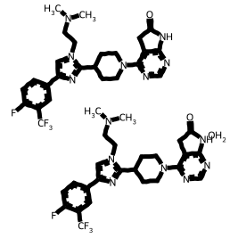 CN(C)CCn1cc(-c2ccc(F)c(C(F)(F)F)c2)nc1C1CCN(c2ncnc3c2CC(=O)N3)CC1.CN(C)CCn1cc(-c2ccc(F)c(C(F)(F)F)c2)nc1C1CCN(c2ncnc3c2CC(=O)N3)CC1.O